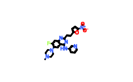 CN1CCN(c2cc3c(Nc4cccnc4)nc(C=Cc4ccc([N+](=O)[O-])o4)nc3cc2F)CC1